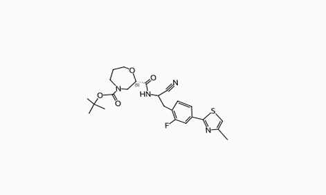 Cc1csc(-c2ccc(CC(C#N)NC(=O)[C@@H]3CN(C(=O)OC(C)(C)C)CCCO3)c(F)c2)n1